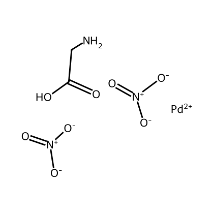 NCC(=O)O.O=[N+]([O-])[O-].O=[N+]([O-])[O-].[Pd+2]